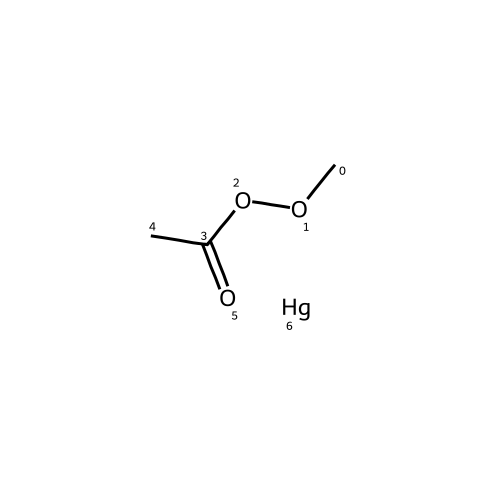 COOC(C)=O.[Hg]